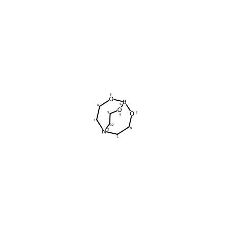 C1CN2CCOB(O1)OCC2